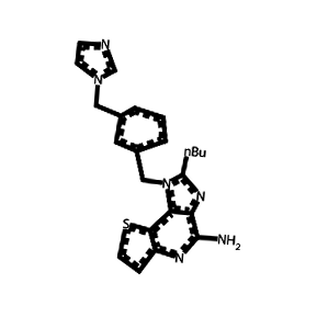 CCCCc1nc2c(N)nc3ccsc3c2n1Cc1cccc(Cn2ccnc2)c1